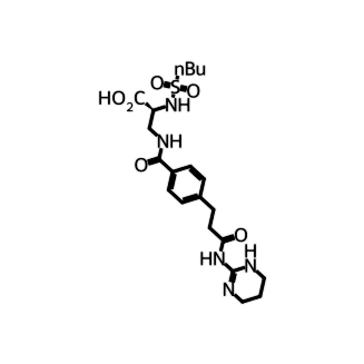 CCCCS(=O)(=O)N[C@@H](CNC(=O)c1ccc(CCC(=O)NC2=NCCCN2)cc1)C(=O)O